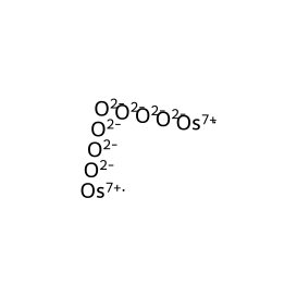 [O-2].[O-2].[O-2].[O-2].[O-2].[O-2].[O-2].[Os+7].[Os+7]